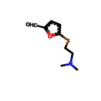 CN(C)CCSc1ccc(C=O)o1